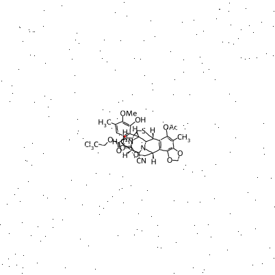 COc1c(C)cc2c(c1O)[C@@H]1C3[C@@H]4SCC(NC(=O)OCC(Cl)(Cl)Cl)C(=O)OC[C@@H](c5c6c(c(C)c(OC(C)=O)c54)OCO6)N3C(C#N)[C@H](C2)N1C